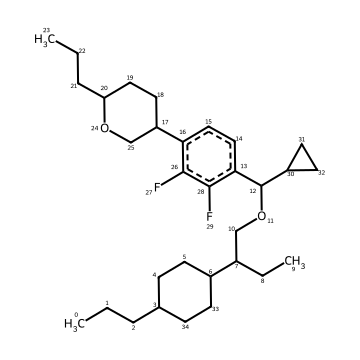 CCCC1CCC(C(CC)COC(c2ccc(C3CCC(CCC)OC3)c(F)c2F)C2CC2)CC1